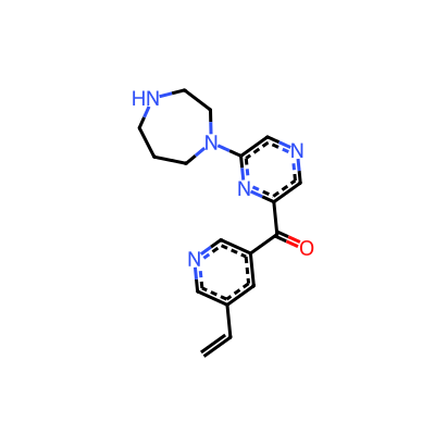 C=Cc1cncc(C(=O)c2cncc(N3CCCNCC3)n2)c1